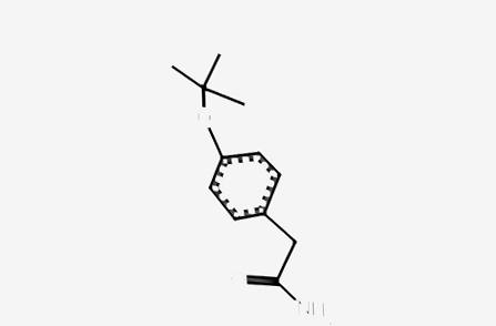 CC(C)(C)Oc1ccc(CC(N)=O)cc1